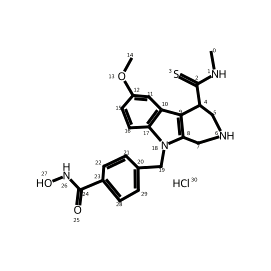 CNC(=S)C1CNCc2c1c1cc(OC)ccc1n2Cc1ccc(C(=O)NO)cc1.Cl